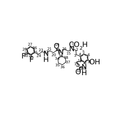 O=C(O)N(CCc1ccc(O)c2[nH]c(=O)sc12)CCN(C(=O)CCNCCc1cccc(F)c1F)C1CCCCC1